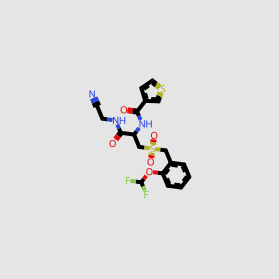 N#CCNC(=O)C(CS(=O)(=O)Cc1ccccc1OC(F)F)NC(=O)c1ccsc1